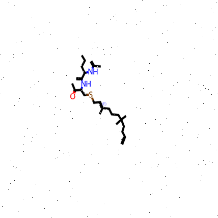 C=CCCC(C)(C)CCC/C(C)=C/CSCC(NC(=C)C(CCC)NC(=C)C)C(C)=O